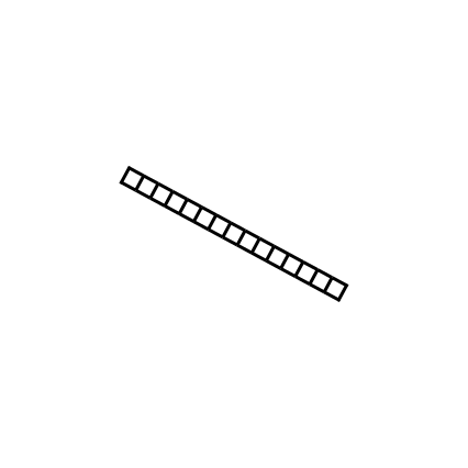 C1CC2C1C1C2C2C1C1C2C2C1C1C2C2C1C1C3C4C5C6C7C8CCC8C7C6C5C4C3C21